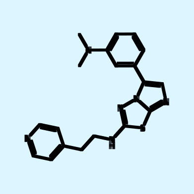 CN(C)c1cccc(-c2cnc3sc(NCCc4ccncc4)nn23)c1